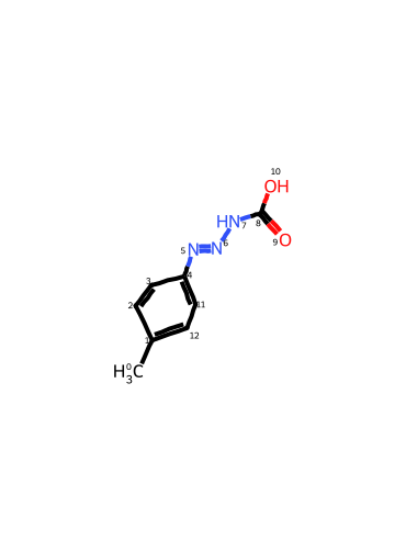 Cc1ccc(N=NNC(=O)O)cc1